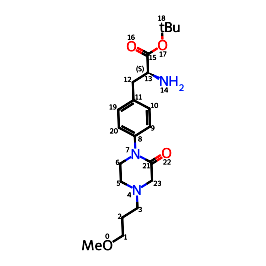 COCCCN1CCN(c2ccc(C[C@H](N)C(=O)OC(C)(C)C)cc2)C(=O)C1